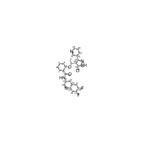 CC(Oc1ccccc1C(=O)Nc1cnc2cc(F)c(F)cc2c1)c1c(-c2cccnc2)n[nH]c1Cl